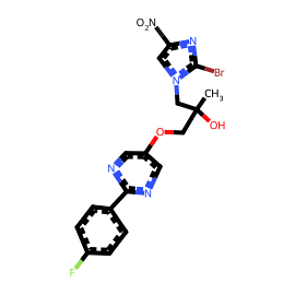 CC(O)(COc1cnc(-c2ccc(F)cc2)nc1)Cn1cc([N+](=O)[O-])nc1Br